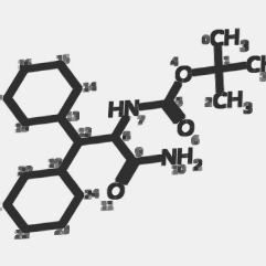 CC(C)(C)OC(=O)NC(C(N)=O)C(C1CCCCC1)C1CCCCC1